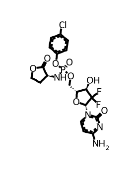 Nc1ccn([C@@H]2O[C@H](COP(=O)(N[C@H]3CCOC3=O)Oc3ccc(Cl)cc3)[C@@H](O)C2(F)F)c(=O)n1